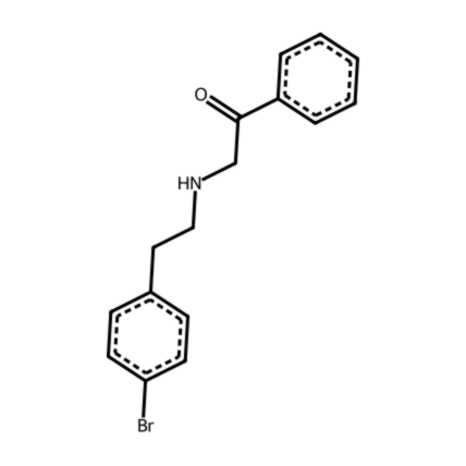 O=C(CNCCc1ccc(Br)cc1)c1ccccc1